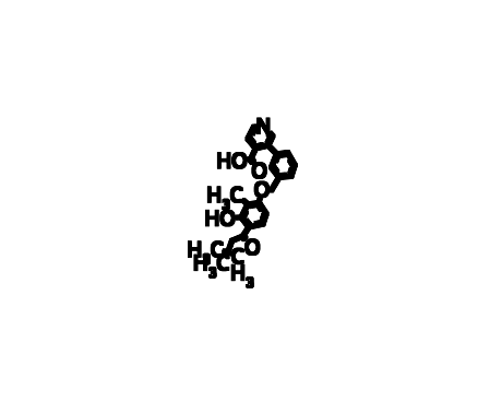 Cc1c(OCc2cccc(-c3cnccc3C(=O)O)c2)ccc(C(=O)CC(C)(C)C)c1O